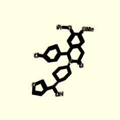 COc1cc2c(cc1OC(C)C)C(c1ccc(Cl)cc1)N([C@H]1CC[C@H](C(O)c3ccoc3)CC1)C(=O)C2